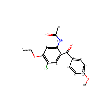 CCOc1cc(NC(C)=O)c(C(=O)c2ccc(OC)cc2)cc1Br